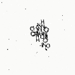 C=CC(=O)N(c1ccc(CN(C(=O)O)[C@H]2CCC[C@@H](Nc3ncc(Cl)c(-c4n[nH]c5ccccc45)n3)C2)cc1)C(C)(C)C